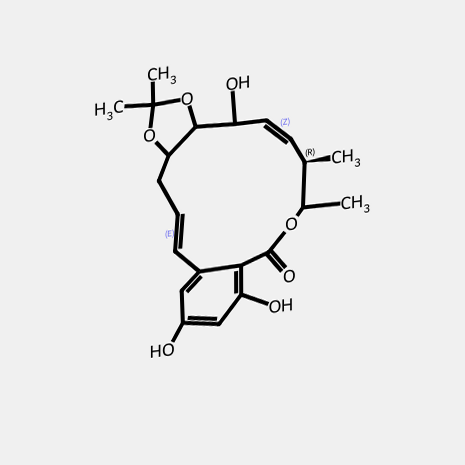 CC1OC(=O)c2c(O)cc(O)cc2/C=C/CC2OC(C)(C)OC2C(O)/C=C\[C@H]1C